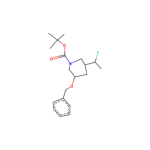 CC(F)C1CC(OCc2ccccc2)CN(C(=O)OC(C)(C)C)C1